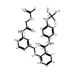 CC(=O)OCC(=O)Nc1cc(CSc2ncccc2C(=O)Nc2ccc(OC(F)(F)F)cc2)ccn1